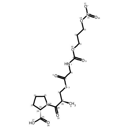 C[C@H](CSC(=O)CNC(=O)OCCCO[N+](=O)[O-])C(=O)N1CCC[C@H]1C(=O)O